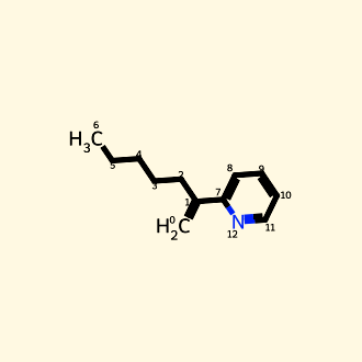 C=C(CCCCC)c1ccccn1